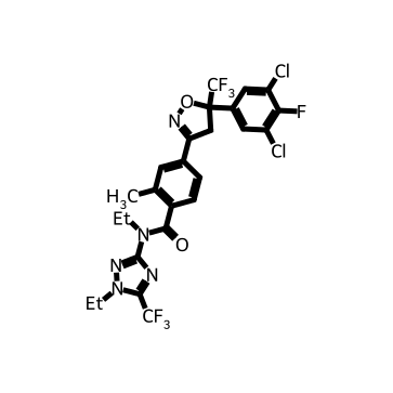 CCN(C(=O)c1ccc(C2=NOC(c3cc(Cl)c(F)c(Cl)c3)(C(F)(F)F)C2)cc1C)c1nc(C(F)(F)F)n(CC)n1